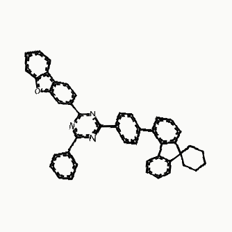 c1ccc(-c2nc(-c3ccc(-c4cccc5c4-c4ccccc4C54CCCCC4)cc3)nc(-c3ccc4c(c3)oc3ccccc34)n2)cc1